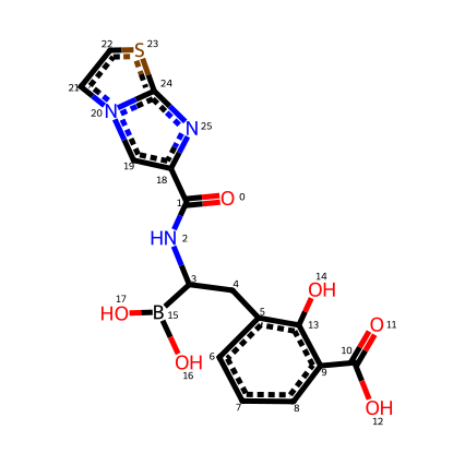 O=C(NC(Cc1cccc(C(=O)O)c1O)B(O)O)c1cn2ccsc2n1